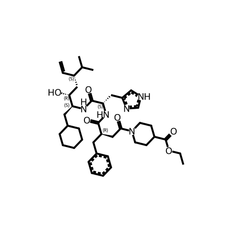 C=C[C@@H](C[C@@H](O)[C@H](CC1CCCCC1)NC(=O)[C@H](Cc1c[nH]cn1)NC(=O)[C@@H](CC(=O)N1CCC(C(=O)OCC)CC1)Cc1ccccc1)C(C)C